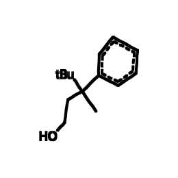 CC(C)(C)C(C)(CCO)c1ccccc1